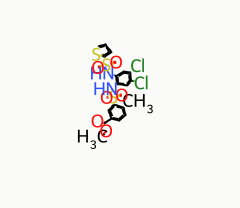 COC(=O)c1ccc(C)c(S(=O)(=O)Nc2cc(Cl)c(Cl)cc2NS(=O)(=O)c2cccs2)c1